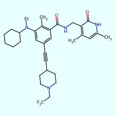 CCN(c1cc(C#CC2CCN(CC(F)(F)F)CC2)cc(C(=O)NCc2c(C)cc(C)[nH]c2=O)c1C)C1CCCCC1